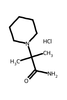 CC(C)(C(N)=O)N1CCCCC1.Cl